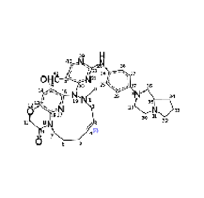 CN1C/C=C\CCCN2C(=O)COc3ccc(nc32)N1c1nc(Nc2ccc(N3CCN4CCCC4C3)cc2)ncc1C=O